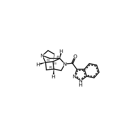 O=C(c1n[nH]c2ccccc12)N1C[C@@H]2C[C@@H]3N4CC[C@]23[C@@H]1C4